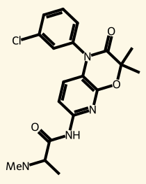 CNC(C)C(=O)Nc1ccc2c(n1)OC(C)(C)C(=O)N2c1cccc(Cl)c1